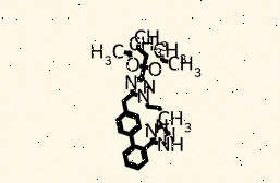 CCCn1nc(C(CCC)(OC(C)C)OC(C)C)nc1Cc1ccc(-c2ccccc2-c2nnn[nH]2)cc1